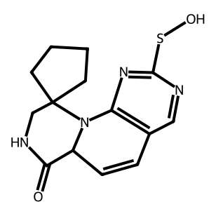 O=C1NCC2(CCCC2)N2c3nc(SO)ncc3C=CC12